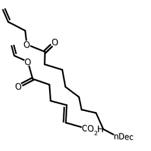 C=CCOC(=O)CCCCCCCCCCCCCCCCC.C=COC(=O)CC/C=C/C(=O)O